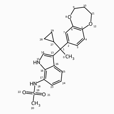 CC(c1ccc2c(c1)OCCCO2)(c1c[nH]c2c(NS(C)(=O)=O)cccc12)C1CC1